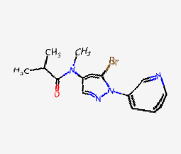 CC(C)C(=O)N(C)c1cnn(-c2cccnc2)c1Br